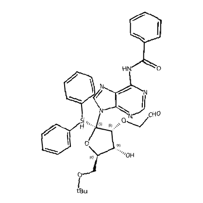 CC(C)(C)OC[C@H]1O[C@](n2cnc3c(NC(=O)c4ccccc4)ncnc32)([SiH](c2ccccc2)c2ccccc2)[C@H](OCC=O)[C@@H]1O